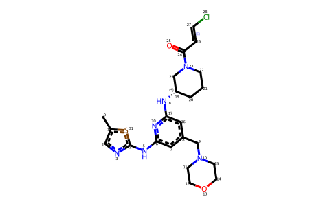 Cc1cnc(Nc2cc(CN3CCOCC3)cc(N[C@H]3CCCN(C(=O)/C=C/Cl)C3)n2)s1